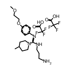 COCCOc1ccc(/N=C(/NCCCN)N2CCC(C)CC2)cc1.O=C(O)C(F)(F)F.O=C(O)C(F)(F)F